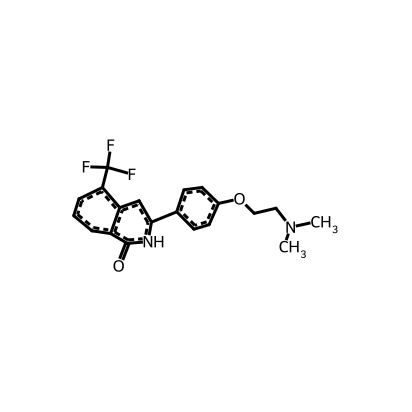 CN(C)CCOc1ccc(-c2cc3c(C(F)(F)F)cccc3c(=O)[nH]2)cc1